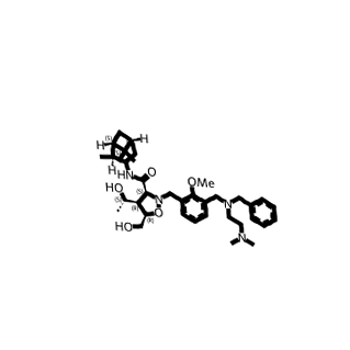 COc1c(CN(CCN(C)C)Cc2ccccc2)cccc1CN1O[C@@H](CO)[C@@H]([C@H](C)O)[C@H]1C(=O)NC1C[C@H]2C[C@@H]([C@@H]1C)C2(C)C